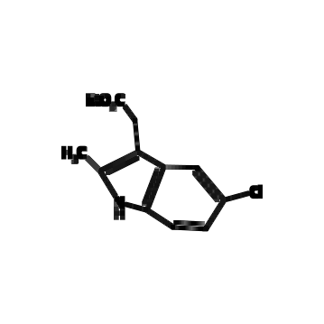 CCOC(=O)Cc1c(C)[nH]c2ccc(Cl)cc12